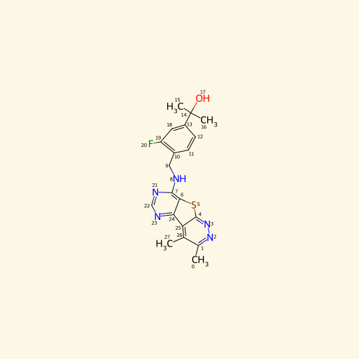 Cc1nnc2sc3c(NCc4ccc(C(C)(C)O)cc4F)ncnc3c2c1C